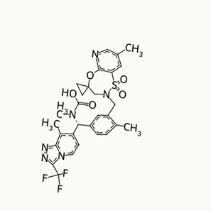 Cc1cnc2c(c1)S(=O)(=O)N(Cc1cc([C@H](c3ccn4c(C(F)(F)F)nnc4c3C)N(C)C(=O)O)ccc1C)CC1(CC1)O2